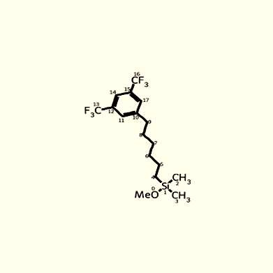 CO[Si](C)(C)CCCCCCc1cc(C(F)(F)F)cc(C(F)(F)F)c1